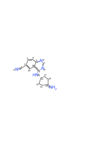 N#Cc1ccc2ncnc(N[C@H]3CC[C@H](N)CC3)c2c1